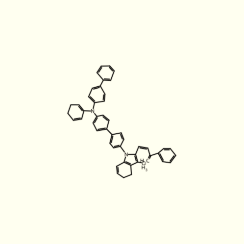 C=C(/C=C\c1c(C)c2c(n1-c1ccc(-c3ccc(N(C4=CCCC=C4)c4ccc(-c5ccccc5)cc4)cc3)cc1)C=CCC2)c1ccccc1